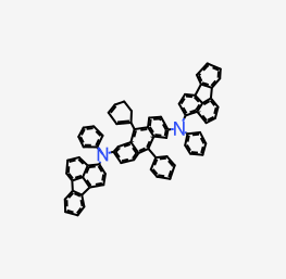 C1=CCCC(c2c3cc(N(c4ccccc4)c4ccc5c6c(cccc46)-c4ccccc4-5)ccc3c(-c3ccccc3)c3cc(N(c4ccccc4)c4ccc5c6c(cccc46)-c4ccccc4-5)ccc23)=C1